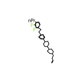 C=CCCC1CCC(C2CCC(c3ccc(CCc4ccc(CCC)c(F)c4F)cc3)CC2)CC1